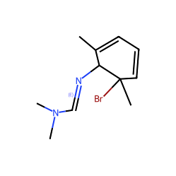 CC1=CC=CC(C)(Br)C1/N=C/N(C)C